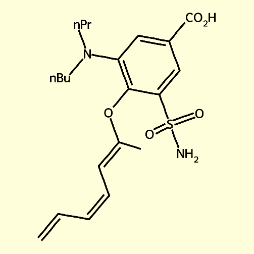 C=C/C=C\C=C(/C)Oc1c(N(CCC)CCCC)cc(C(=O)O)cc1S(N)(=O)=O